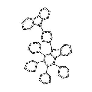 c1ccc(-c2c(-c3ccccc3)c(-c3ccccc3)c3c(c2-c2ccccc2)c2ccccc2n3-c2ccc(-n3c4ccccc4c4ccccc43)cc2)cc1